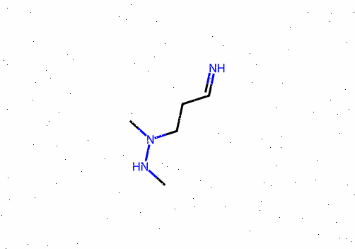 CNN(C)CCC=N